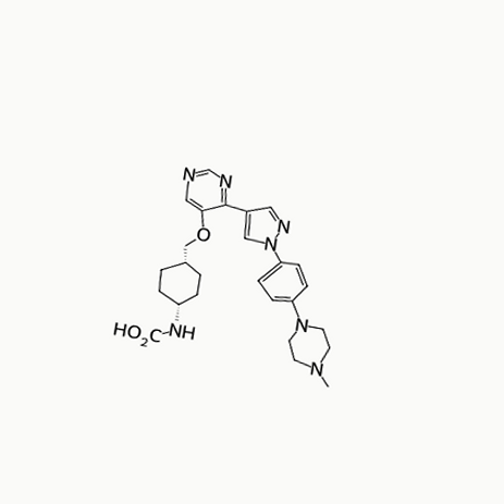 CN1CCN(c2ccc(-n3cc(-c4ncncc4OC[C@H]4CC[C@@H](NC(=O)O)CC4)cn3)cc2)CC1